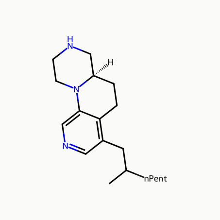 CCCCCC(C)Cc1cncc2c1CC[C@@H]1CNCCN21